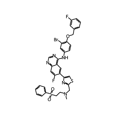 CN(CCS(=O)(=O)c1ccccc1)Cc1nc(-c2cc3c(Nc4ccc(OCc5cccc(F)c5)c(Br)c4)ncnc3cc2F)cs1